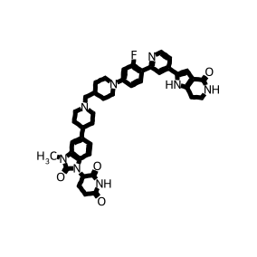 Cn1c(=O)n(C2CCC(=O)NC2=O)c2ccc(C3CCN(CC4CCN(c5ccc(-c6cc(-c7cc8c([nH]7)CCNC8=O)ccn6)c(F)c5)CC4)CC3)cc21